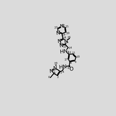 Cc1cc(CNC(=O)c2cccc(NCc3nnc(-c4ccncn4)n3C)c2)n(C)n1